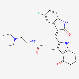 CCN(CC)CCNC(=O)CCc1c(C=C2C(=O)Nc3ccc(F)cc32)[nH]c2c1C(=O)CCC2